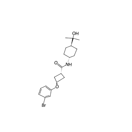 CC(C)(O)[C@H]1CC[C@H](NC(=O)[C@H]2C[C@H](Oc3cccc(Br)c3)C2)CC1